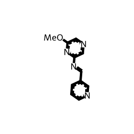 COc1cncc(/N=C/c2cccnc2)n1